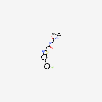 N#CC1(NC(=O)CNC(=O)Cc2nc3ccc(-c4cccc(F)c4)cc3s2)CC1